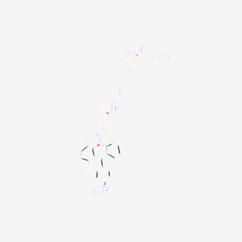 CC/N=c1\cc2oc3cc(C)c(C)cc3c(-c3ccccc3C(=O)N(C)CCOC(=O)NCCCCCCOP(NC(C)C)OCCC#N)c-2cc1C